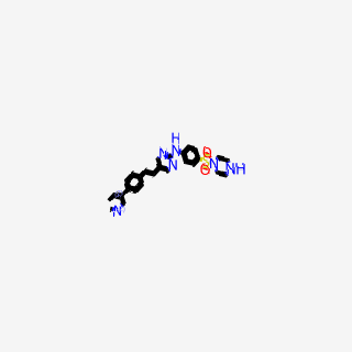 C/C=C(\C=N/C)c1ccc(C=Cc2cnc(Nc3ccc(S(=O)(=O)N4CCNCC4)cc3)nc2)cc1